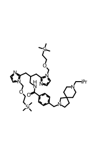 CC(C)CN1CCC2(CC1)CCN(Cc1ccc(C(=O)NCC(Cc3nccn3COCC[Si](C)(C)C)Cc3nccn3COCC[Si](C)(C)C)cc1)C2